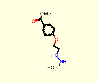 COC(=O)c1ccc(OCCNNC(=O)O)cc1